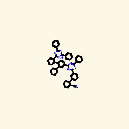 N#Cc1ccccc1-c1cccc(C2=NC(c3ccccc3)=NC(c3ccc(-c4ccccc4C4=NC(c5ccccc5)=NC(c5ccccc5)N4)c(-c4ccccc4)c3)N2)c1